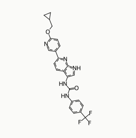 O=C(Nc1ccc(C(F)(F)F)cc1)Nc1c[nH]c2nc(-c3ccc(OCC4CC4)nc3)ccc12